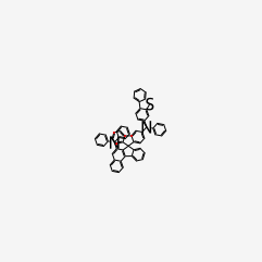 c1ccc(N(c2ccc3c(c2)-c2ccccc2C32c3ccccc3-c3c2c(N(c2ccccc2)c2ccccc2)cc2ccccc32)c2ccc3c(c2)sc2ccccc23)cc1